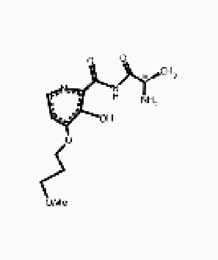 COCCCOc1ccnc(C(=O)NC(=O)[C@@H](C)N)c1O